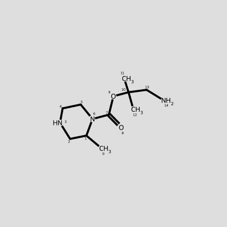 CC1CNCCN1C(=O)OC(C)(C)CN